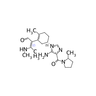 CN/C(C)=C(\C=O)C1=C(C)CC[C@H](n2cnc(C(=O)N3CCCC3C)c2N)C1